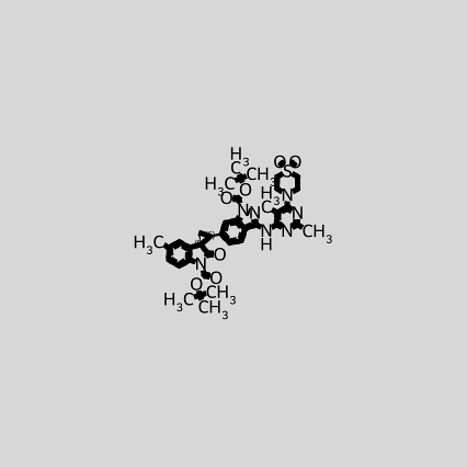 Cc1ccc2c(c1)[C@]1(C[C@H]1c1ccc3c(Nc4nc(C)nc(N5CCS(=O)(=O)CC5)c4C)nn(C(=O)OC(C)(C)C)c3c1)C(=O)N2C(=O)OC(C)(C)C